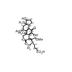 COCC(=C1C(=O)OCC2(C)C1=C(O)C(=O)C1=C2C(OC(C)=O)CC2(C)C(O)CCC12)N(C)CCCC(=O)O